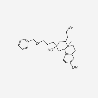 CC(C)CCC1C[C@@](O)(CCCOCc2ccccc2)CC2c3ccc(O)cc3CCC12C